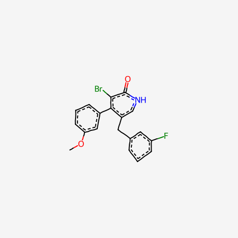 COc1cccc(-c2c(Cc3cccc(F)c3)c[nH]c(=O)c2Br)c1